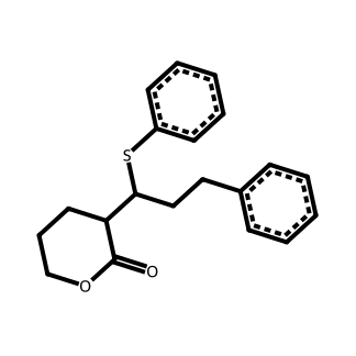 O=C1OCCCC1C(CCc1ccccc1)Sc1ccccc1